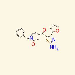 Nc1nc(-c2ccco2)c(C(=O)c2ccn(Cc3ccccc3)c(=O)c2)s1